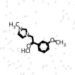 COc1cccc(C(=O)CN2C=CN(C)C2)c1.Cl